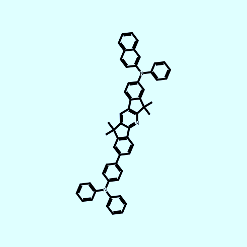 CC1(C)c2cc(-c3ccc(N(c4ccccc4)c4ccccc4)cc3)ccc2-c2nc3c(cc21)-c1ccc(N(c2ccccc2)c2ccc4ccccc4c2)cc1C3(C)C